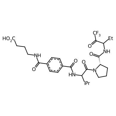 CCC(NC(=O)[C@@H]1CCCN1C(=O)C(NC(=O)c1ccc(C(=O)NCCCC(=O)O)cc1)C(C)C)C(=O)C(F)(F)F